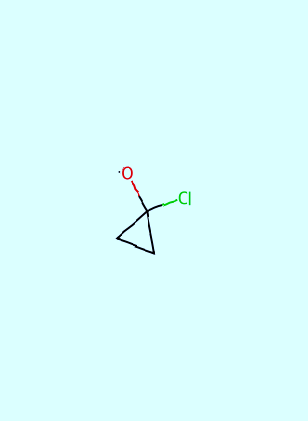 [O]C1(Cl)CC1